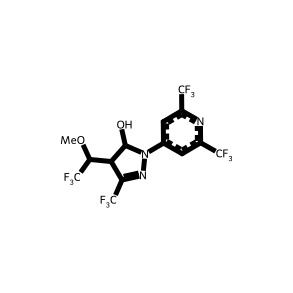 COC(C1C(C(F)(F)F)=NN(c2cc(C(F)(F)F)nc(C(F)(F)F)c2)C1O)C(F)(F)F